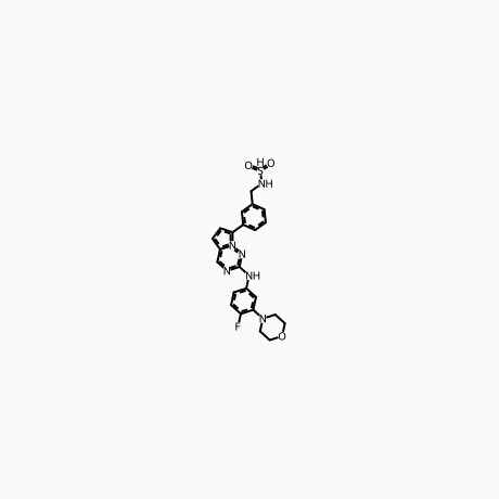 O=[SH](=O)NCc1cccc(-c2ccc3cnc(Nc4ccc(F)c(N5CCOCC5)c4)nn23)c1